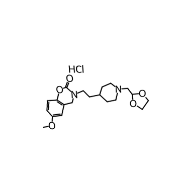 COc1ccc2c(c1)CN(CCC1CCN(CC3OCCO3)CC1)C(=O)O2.Cl